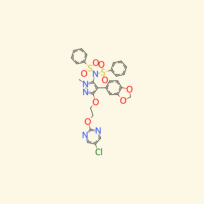 Cn1nc(OCCOc2ncc(Cl)cn2)c(-c2ccc3c(c2)OCO3)c1N(S(=O)(=O)c1ccccc1)S(=O)(=O)c1ccccc1